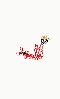 O.O.O.O.O.O.O.O.O.O.P.[Na+].[Na+].[O]=[Mo](=[O])([O-])[O-]